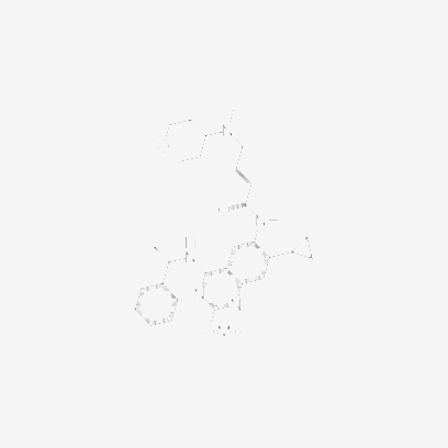 COc1nc(N[C@H](C)c2ccccc2)c2cc(NC(=O)C=CCN(C)C3CCOCC3)c(C3CC3)cc2n1